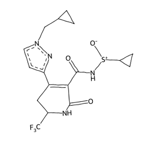 O=C1NC(C(F)(F)F)CC(c2ccn(CC3CC3)n2)=C1C(=O)N[S+]([O-])C1CC1